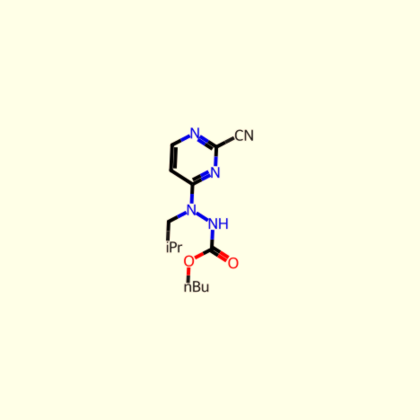 CCCCOC(=O)NN(CC(C)C)c1ccnc(C#N)n1